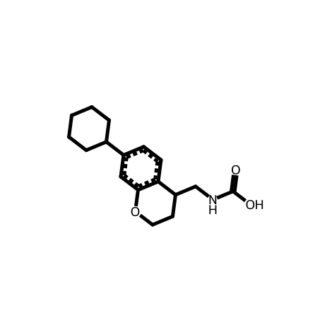 O=C(O)NCC1CCOc2cc(C3CCCCC3)ccc21